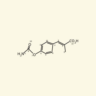 C/C(=C\c1ccc(OC(N)=O)cc1)C(=O)O